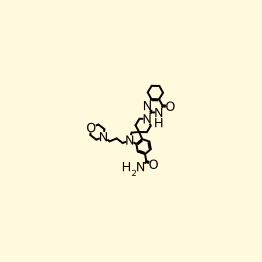 NC(=O)c1ccc2c(c1)N(CCCN1CCOCC1)CC21CCN(c2nc3c(c(=O)[nH]2)CCCC3)CC1